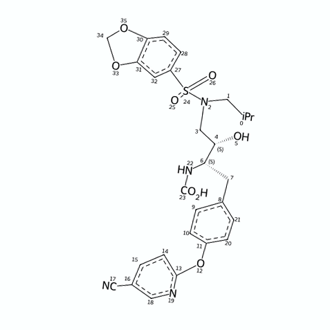 CC(C)CN(C[C@H](O)[C@H](Cc1ccc(Oc2ccc(C#N)cn2)cc1)NC(=O)O)S(=O)(=O)c1ccc2c(c1)OCO2